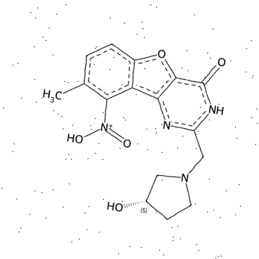 Cc1ccc2oc3c(=O)[nH]c(CN4CC[C@H](O)C4)nc3c2c1[N+](=O)O